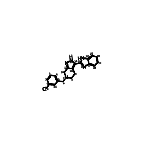 Clc1cccc(CN2CCc3c(n[nH]c3-c3nc4ccccc4[nH]3)C2)c1